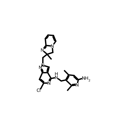 Cc1cc(N)nc(C)c1CNc1nc(Cl)cc2nn(CC3(C)CN4C=CC=CC4=N3)cc12